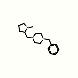 CN1CCCC1CN1CCN(Cc2ccccc2)CC1